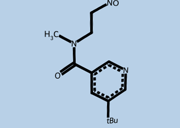 CN(CCN=O)C(=O)c1cncc(C(C)(C)C)c1